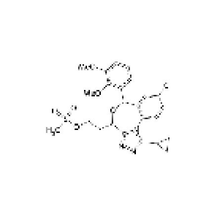 COc1cccc(C2OC(CCOS(C)(=O)=O)c3nnc(C4CC4)n3-c3ccc(Cl)cc32)c1OC